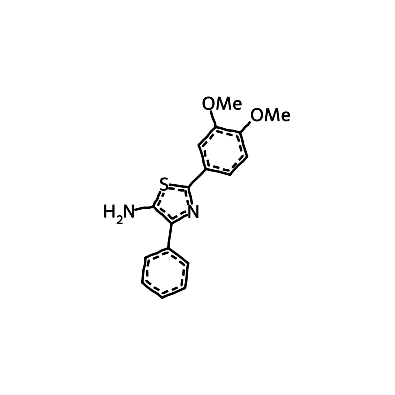 COc1ccc(-c2nc(-c3ccccc3)c(N)s2)cc1OC